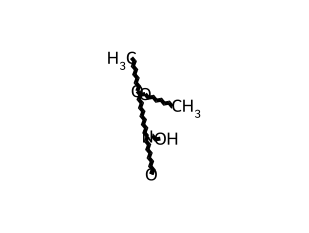 CCCCCCCCOC(CCCCCCCCCN(CCO)CCCCCCCC=O)OCCCCCCCC